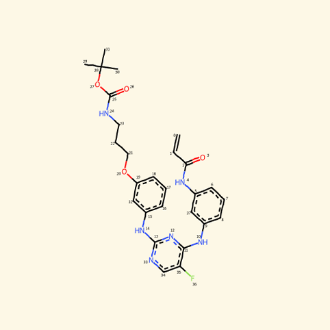 C=CC(=O)Nc1cccc(Nc2nc(Nc3cccc(OCCCNC(=O)OC(C)(C)C)c3)ncc2F)c1